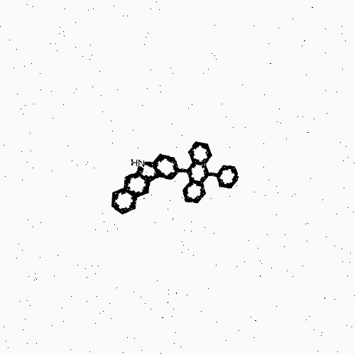 c1ccc(-c2c3ccccc3c(-c3ccc4[nH]c5cc6ccccc6cc5c4c3)c3ccccc23)cc1